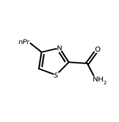 CCCc1csc(C(N)=O)n1